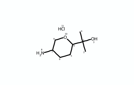 CC(C)(O)C1CCC(N)CO1.Cl